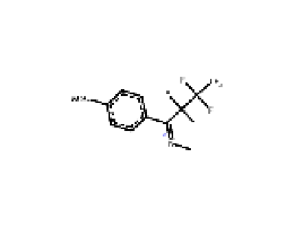 C/N=C(/c1ccc(OC)cc1)C(F)(F)C(F)(F)C(F)(F)F